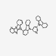 c1cnc2c(c1)nc1n(-c3cccc4c3c3ccccc3n4-c3cncc(-n4c5ccccc5c5ccccc54)c3)c3ccccc3n21